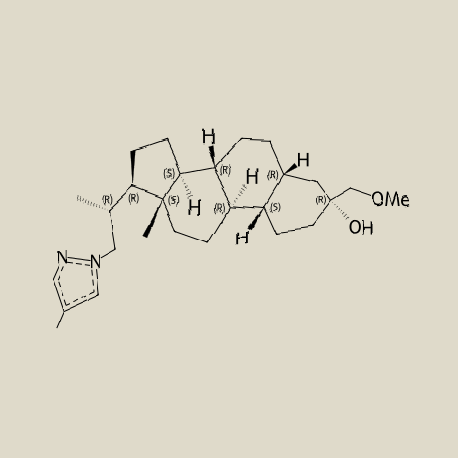 COC[C@@]1(O)CC[C@H]2[C@H](CC[C@@H]3[C@@H]2CC[C@]2(C)[C@@H]([C@@H](C)Cn4cc(C)cn4)CC[C@@H]32)C1